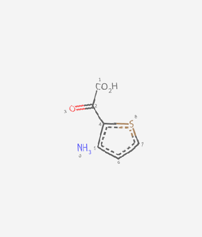 N.O=C(O)C(=O)c1cccs1